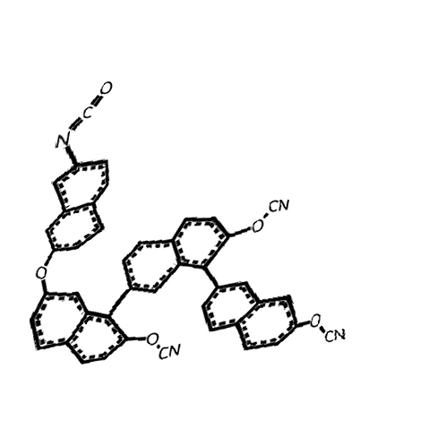 N#COc1ccc2ccc(-c3c(OC#N)ccc4ccc(-c5c(OC#N)ccc6ccc(Oc7ccc8ccc(N=C=O)cc8c7)cc56)cc34)cc2c1